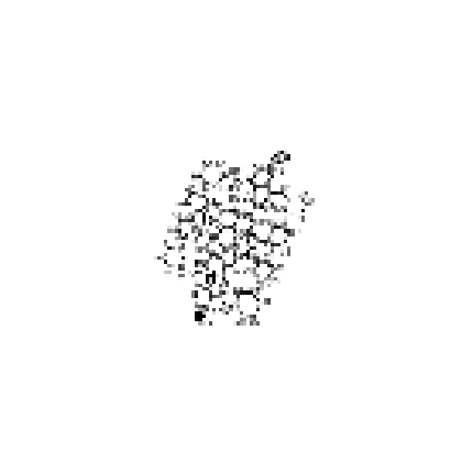 CC(C)(C)c1cc(CCC2CCCCC2)c(N2C(=O)c3cc(Oc4ccccc4)c4c5c(Oc6ccccc6)cc6c7c(cc(Oc8ccccc8)c(c8c(Oc9ccccc9)cc(c3c48)C2=O)c75)C(=O)N(c2c(CCC3CCCCC3)cc(C(C)(C)C)cc2CCC2CCCCC2)C6=O)c(CCC2CCCCC2)c1